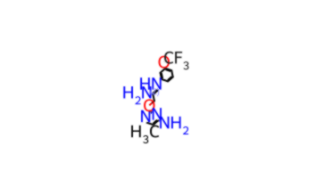 Cc1cnc(OC/C(N)=C/Nc2cccc(OC(F)(F)F)c2)nc1N